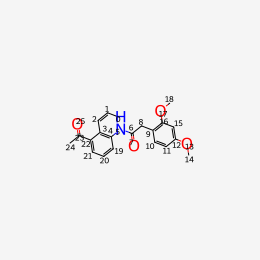 C/C=C\c1c(NC(=O)Cc2ccc(OC)cc2OC)cccc1C(C)=O